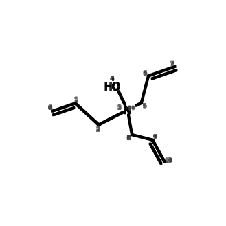 C=CC[N+](O)(CC=C)CC=C